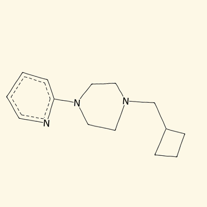 c1ccc(N2CCN(CC3CCC3)CC2)nc1